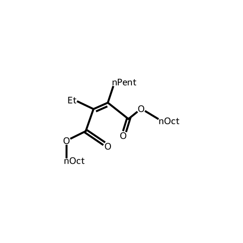 CCCCCCCCOC(=O)/C(CC)=C(/CCCCC)C(=O)OCCCCCCCC